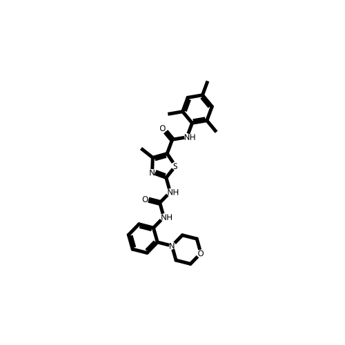 Cc1cc(C)c(NC(=O)c2sc(NC(=O)Nc3ccccc3N3CCOCC3)nc2C)c(C)c1